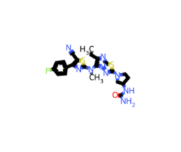 CCc1nc2sc(N3CCC(NC(N)=O)C3)nn2c1N(C)c1nc(-c2ccc(F)cc2)c(C#N)s1